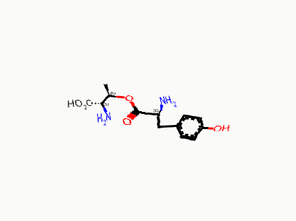 C[C@@H](OC(=O)[C@@H](N)Cc1ccc(O)cc1)[C@H](N)C(=O)O